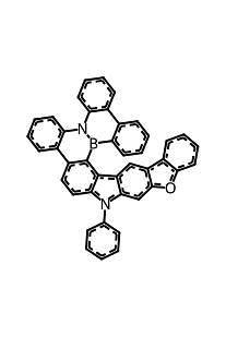 c1ccc(-n2c3cc4oc5ccccc5c4cc3c3c4c(ccc32)-c2ccccc2N2B4c3ccccc3-c3ccccc32)cc1